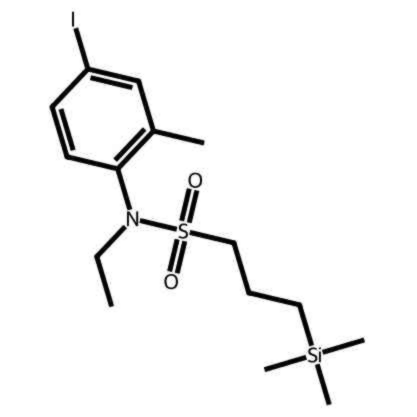 CCN(c1ccc(I)cc1C)S(=O)(=O)CCC[Si](C)(C)C